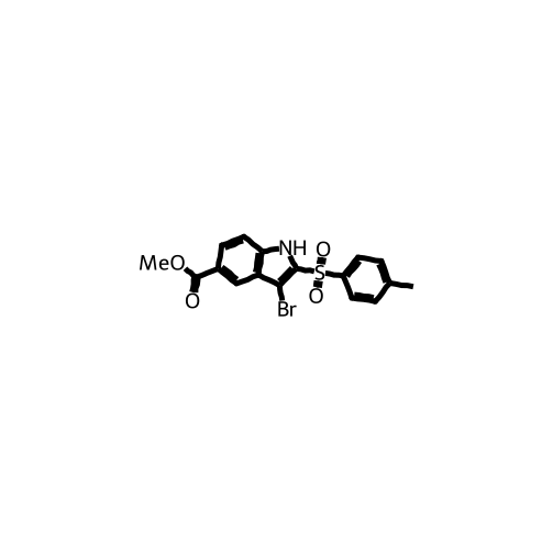 COC(=O)c1ccc2[nH]c(S(=O)(=O)c3ccc(C)cc3)c(Br)c2c1